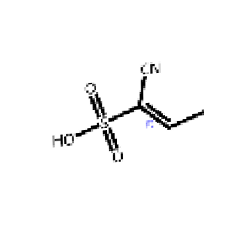 C/C=C(\C#N)S(=O)(=O)O